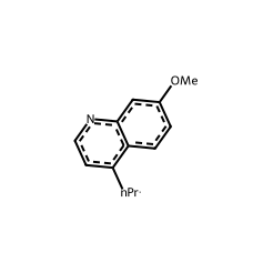 CC[CH]c1ccnc2cc(OC)ccc12